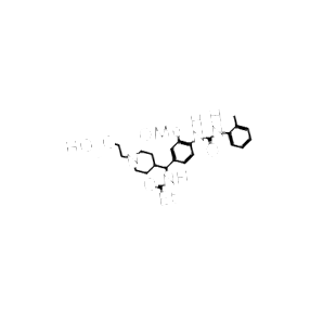 CCC(=O)NC(c1ccc(NC(=O)Nc2ccccc2C)c(OC)c1)C1CCN(CCC(=O)O)CC1